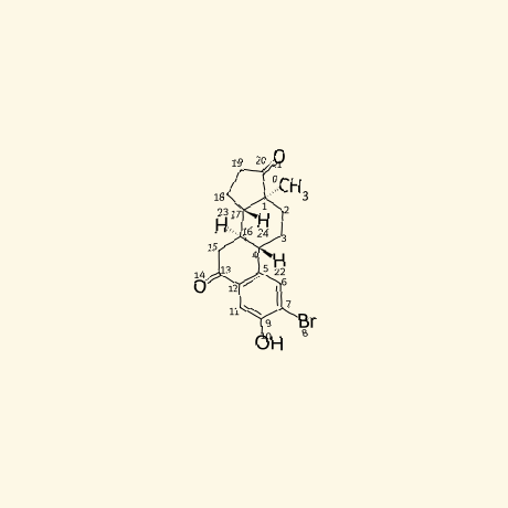 C[C@]12CC[C@@H]3c4cc(Br)c(O)cc4C(=O)C[C@H]3[C@@H]1CCC2=O